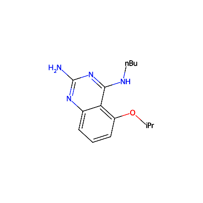 CCCCNc1nc(N)nc2cccc(OC(C)C)c12